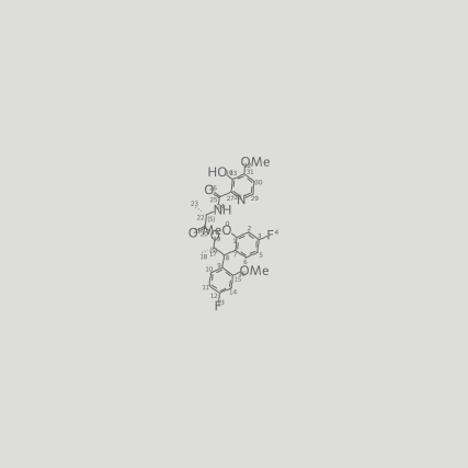 COc1cc(F)ccc1C(c1ccc(F)cc1OC)[C@H](C)OC(=O)[C@H](C)NC(=O)c1nccc(OC)c1O